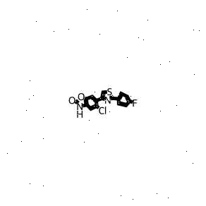 O=c1[nH]c2cc(Cl)c(-c3csc(-c4ccc(F)cc4)n3)cc2o1